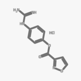 Cl.N=C(N)Nc1ccc(OC(=O)c2ccon2)cc1